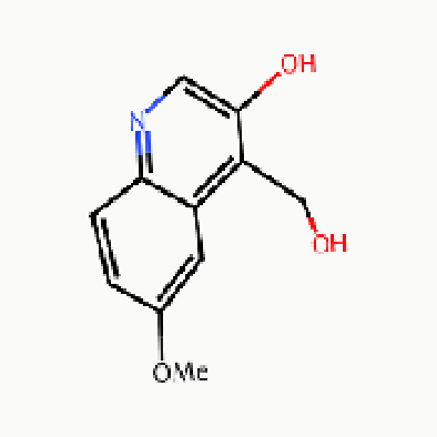 COc1ccc2ncc(O)c(CO)c2c1